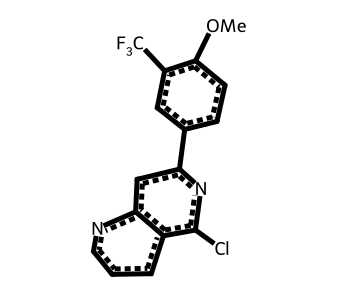 COc1ccc(-c2cc3ncccc3c(Cl)n2)cc1C(F)(F)F